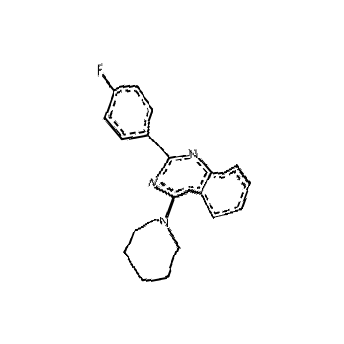 Fc1ccc(-c2nc(N3CCCCC3)c3ccccc3n2)cc1